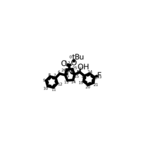 CC(C)(C)OC(=O)N1C2(Cc3ccccc3)CCC1([C@@H](O)c1cccc(F)c1)CC2